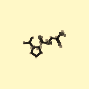 CC(C)N1CCC[C@H]1C(=O)NCC(N)=O